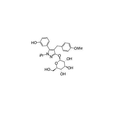 COc1ccc(Cc2c(O[C@@H]3O[C@H](CO)[C@@H](O)[C@H](O)[C@H]3O)nn(C(C)C)c2-c2cccc(O)c2)cc1